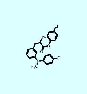 CC(C)C(Cc1cccc(N(C)c2ccc(Cl)cc2)c1)C(=O)Oc1ccc(Cl)cc1